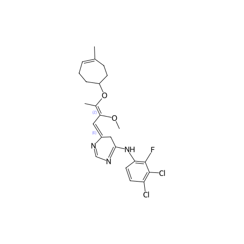 COC(/C=C1\CC(Nc2ccc(Cl)c(Cl)c2F)=NC=N1)=C(/C)OC1CCC=C(C)CC1